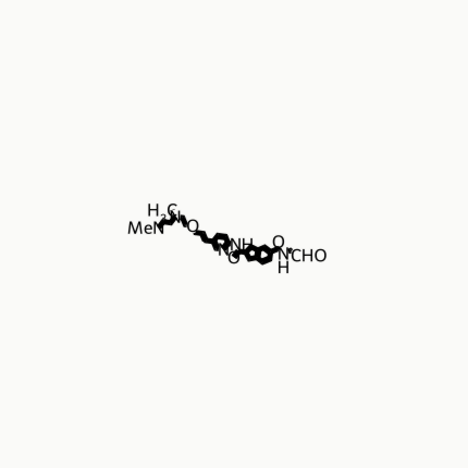 CNCCN(C)CCOC/C=C/c1ccc(NC(=O)C2Cc3ccc(C(=O)NCC=O)cc3C2)nc1